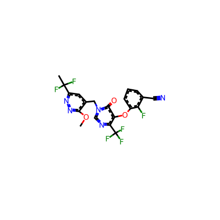 COc1nnc(C(C)(F)F)cc1Cn1cnc(C(F)(F)F)c(Oc2cccc(C#N)c2F)c1=O